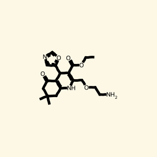 CCOC(=O)C1=C(COCCN)NC2=C(C(=O)CC(C)(C)C2)C1c1cnco1